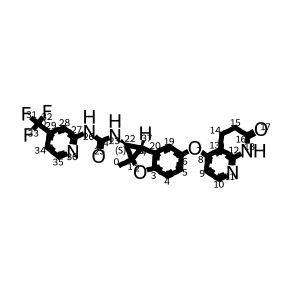 CC12Oc3ccc(Oc4ccnc5c4CCC(=O)N5)cc3[C@H]1[C@@H]2NC(=O)Nc1cc(C(F)(F)F)ccn1